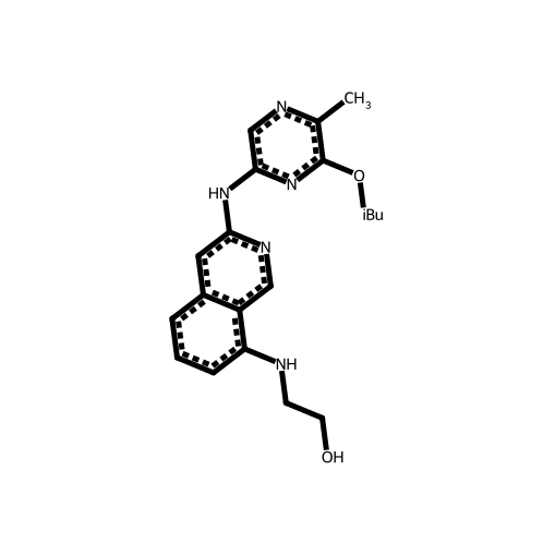 CCC(C)Oc1nc(Nc2cc3cccc(NCCO)c3cn2)cnc1C